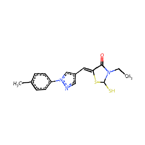 CCN1C(=O)/C(=C/c2cnn(-c3ccc(C)cc3)c2)SC1S